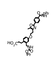 CCCNC(=O)c1ccc(-c2nc(CCOc3ccc(CCC(=O)O)c(CNC(=O)OC(C)C)c3)c(C)o2)cc1